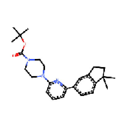 CC(C)(C)OC(=O)N1CCN(c2cccc(-c3ccc4c(c3)CCC4(C)C)n2)CC1